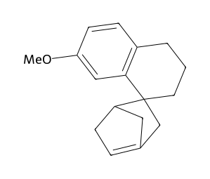 COc1ccc2c(c1)C1(CCC2)CC2=CCC1C2